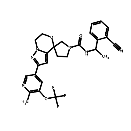 CC(NC(=O)N1CCC2(C1)OCCn1nc(-c3cnc(N)c(OC(F)(F)F)c3)cc12)c1ccccc1C#N